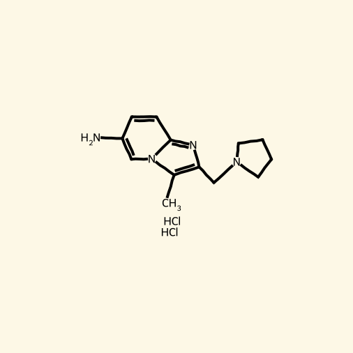 Cc1c(CN2CCCC2)nc2ccc(N)cn12.Cl.Cl